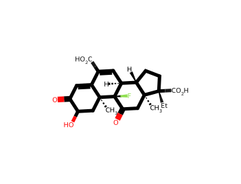 CC[C@]1(C(=O)O)CC[C@H]2[C@@H]3C=C(C(=O)O)C4=CC(=O)C(O)C[C@]4(C)[C@@]3(F)C(=O)C[C@@]21C